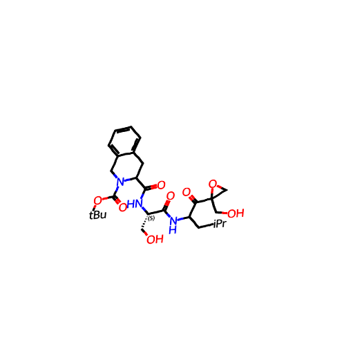 CC(C)CC(NC(=O)[C@H](CO)NC(=O)C1Cc2ccccc2CN1C(=O)OC(C)(C)C)C(=O)C1(CO)CO1